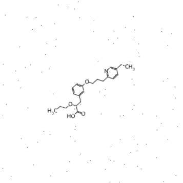 CCCOC(Cc1cccc(OCCCc2ccc(CC)cn2)c1)C(=O)O